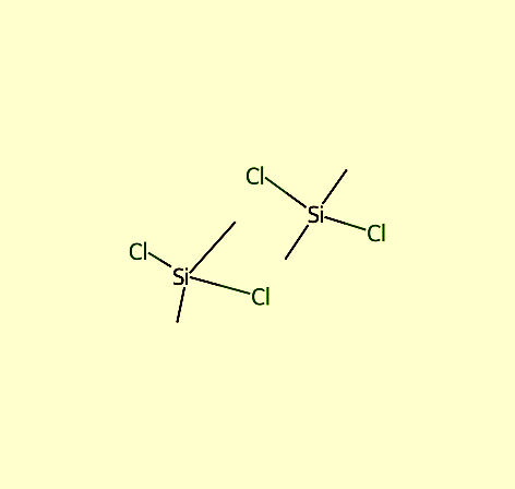 C[Si](C)(Cl)Cl.C[Si](C)(Cl)Cl